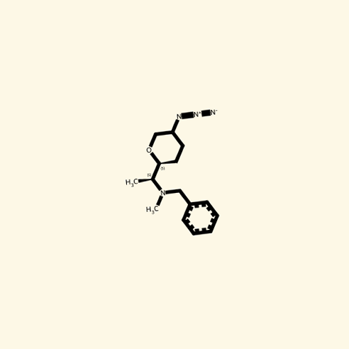 C[C@@H]([C@@H]1CCC(N=[N+]=[N-])CO1)N(C)Cc1ccccc1